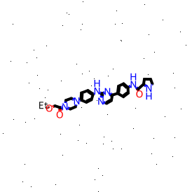 CCOCC(=O)N1CCN(c2ccc(Nc3nccc(-c4ccc(NC(=O)C5CCCN5)cc4)n3)cc2)CC1